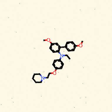 CCN(c1ccc(OCCN2CCCCC2)cc1)c1ccc(OC)cc1-c1ccc(OC)cc1